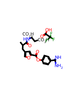 CC(Cc1coc(C(=O)Oc2ccc(C(=N)N)cc2)c1)C(=O)N[C@@H](CC(=O)O)C(=O)O.O=C(O)C(F)(F)F